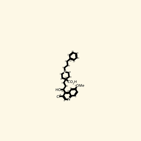 COc1ccc2ncc(Cl)c(C(O)CCC3(C(=O)O)CCN(CCCc4ccccc4)CC3)c2c1